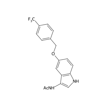 CC(=O)Nc1c[nH]c2ccc(OCc3ccc(C(F)(F)F)cc3)cc12